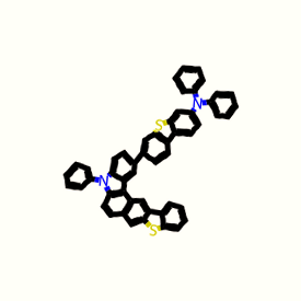 c1ccc(N(c2ccccc2)c2ccc3c(c2)sc2cc(-c4ccc5c(c4)c4c6cc7c(cc6ccc4n5-c4ccccc4)sc4ccccc47)ccc23)cc1